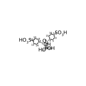 O=S(=O)(O)c1ccc(COCc2ccc(S(=O)(=O)O)cc2)cc1.OB(O)O